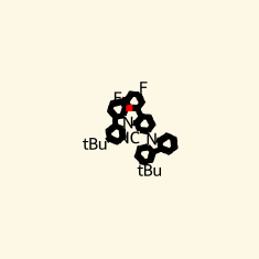 CC(C)(C)c1ccc2c(c1)c1ccccc1n2-c1ccc(-c2cc(F)cc(F)c2)c(-n2c3ccccc3c3cc(C(C)(C)C)ccc32)c1C#N